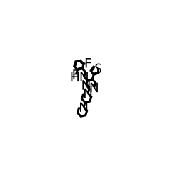 Fc1cccc(F)c1CNc1nc(N2CCC(N3CCCCC3)CC2)ncc1-c1ccsc1